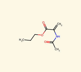 C=C(NC(C)=O)C(=O)OCCC